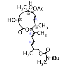 CCC(C)N(C)C(=O)OCC(C)/C=C/C=C(\C)[C@H]1OC(=O)C[C@@H](O)CC[C@](C)(O)[C@@H](OC(C)=O)/C=C/[C@@H]1C